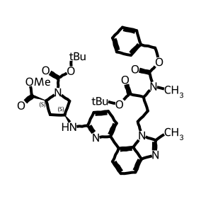 COC(=O)[C@@H]1C[C@H](Nc2cccc(-c3cccc4nc(C)n(CCC(C(=O)OC(C)(C)C)N(C)C(=O)OCc5ccccc5)c34)n2)CN1C(=O)OC(C)(C)C